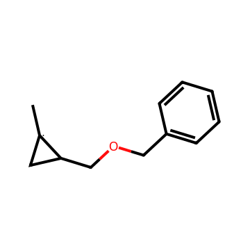 C[C]1CC1COCc1ccccc1